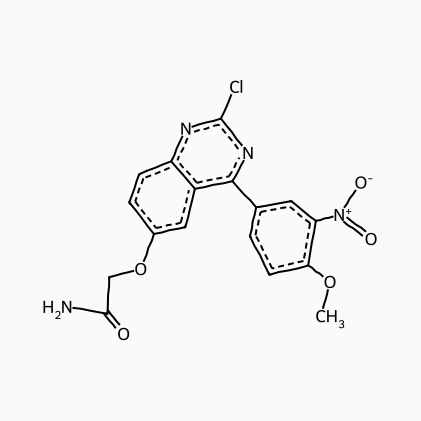 COc1ccc(-c2nc(Cl)nc3ccc(OCC(N)=O)cc23)cc1[N+](=O)[O-]